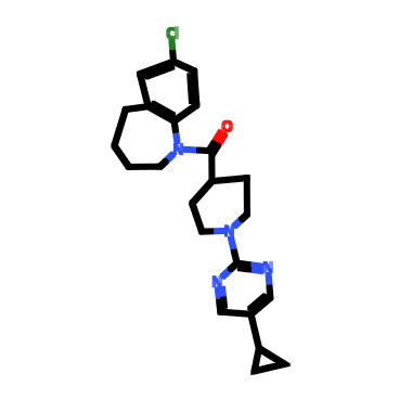 O=C(C1CCN(c2ncc(C3CC3)cn2)CC1)N1CCCCc2cc(Cl)ccc21